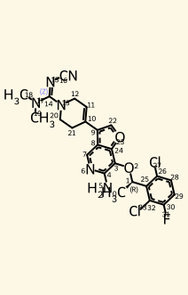 C[C@@H](Oc1c(N)ncc2c(C3=CCN(/C(=N\C#N)N(C)C)CC3)coc12)c1c(Cl)ccc(F)c1Cl